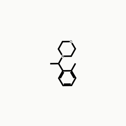 Cc1ccccc1C(C)N1CCOCC1